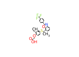 CCc1cc(SC(C)c2cccc3nc(-c4ccc(C(F)(F)F)cc4)oc23)ccc1OCC(=O)O